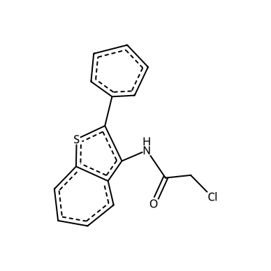 O=C(CCl)Nc1c(-c2ccccc2)sc2ccccc12